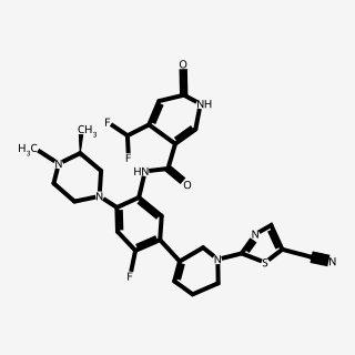 C[C@H]1CN(c2cc(F)c(C3=CCCN(c4ncc(C#N)s4)C3)cc2NC(=O)c2c[nH]c(=O)cc2C(F)F)CCN1C